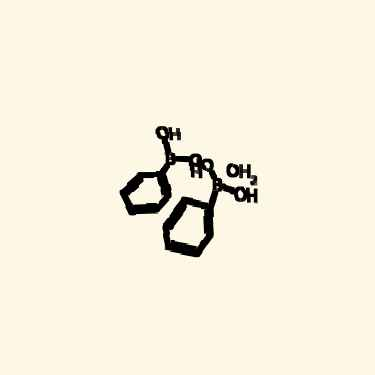 O.OB(O)c1ccccc1.OB(O)c1ccccc1